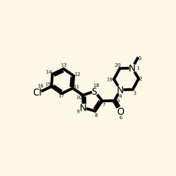 CN1CCN(C(=O)c2cnc(-c3cccc(Cl)c3)s2)CC1